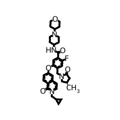 C[C@H]1CC(=O)N(Cc2cc(F)c(C(=O)NC3CCN(C4CCOCC4)CC3)cc2Oc2ccc3c(=O)n(CC4CC4)ccc3c2)C1